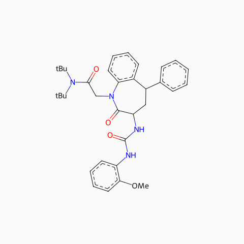 COc1ccccc1NC(=O)NC1CC(c2ccccc2)c2ccccc2N(CC(=O)N(C(C)(C)C)C(C)(C)C)C1=O